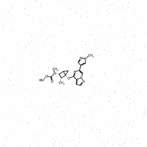 C[C@@H]1[C@H](N(C)C(=O)OC(C)(C)C)C2C[C@]21Oc1nc(-c2cnn(C)c2)cn2nccc12